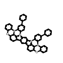 c1ccc(-c2ccc3c(c2)B2c4ccccc4Oc4ccc5c6cc7c8ccc9c%10c8n(c7cc6n-3c5c42)-c2ccc(-c3ccccc3)cc2B%10c2ccccc2O9)cc1